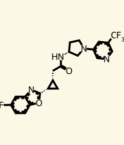 O=C(C[C@@H]1C[C@@H]1c1nc2cc(F)ccc2o1)N[C@@H]1CCN(c2cncc(C(F)(F)F)c2)C1